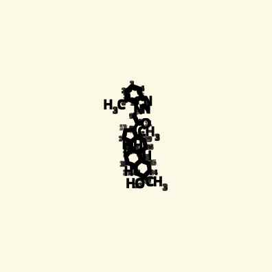 Cc1cccc2nnn(CC(=O)[C@@H]3CC[C@H]4[C@@H]5CC[C@@H]6C[C@](C)(O)CC[C@@H]6[C@H]5CC[C@]34C)c12